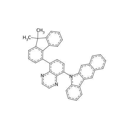 CC1(C)c2ccccc2-c2c(-c3ccc(-n4c5ccccc5c5cc6ccccc6cc54)c4nccnc34)cccc21